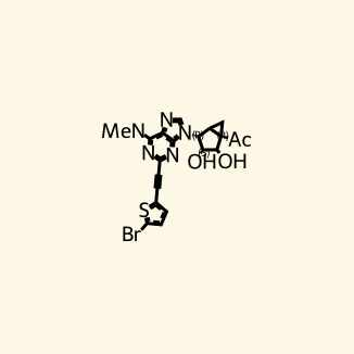 CNc1nc(C#Cc2ccc(Br)s2)nc2c1ncn2[C@@H]1C2C[C@]2(C(C)=O)C(O)[C@H]1O